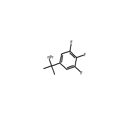 CCCC(C)(C)c1cc(F)c(F)c(F)c1